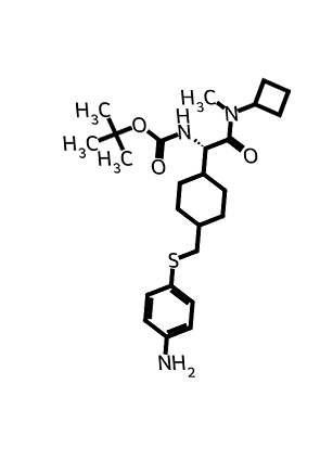 CN(C(=O)[C@@H](NC(=O)OC(C)(C)C)C1CCC(CSc2ccc(N)cc2)CC1)C1CCC1